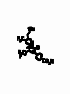 CC(C)(C)CCc1ccc([C@]2(C)NC(=O)N(c3ccc(C(=O)O)cc3)C=C2C2CC(F)(F)C2)cc1C(F)(F)F